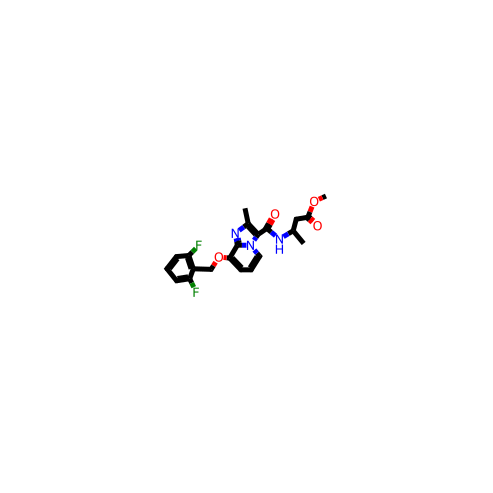 COC(=O)CC(C)NC(=O)c1c(C)nc2c(OCc3c(F)cccc3F)cccn12